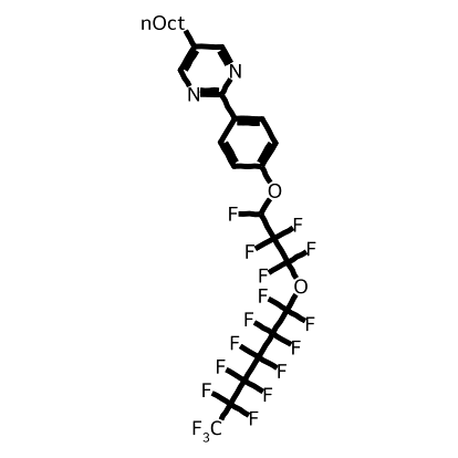 CCCCCCCCc1cnc(-c2ccc(OC(F)C(F)(F)C(F)(F)OC(F)(F)C(F)(F)C(F)(F)C(F)(F)C(F)(F)C(F)(F)F)cc2)nc1